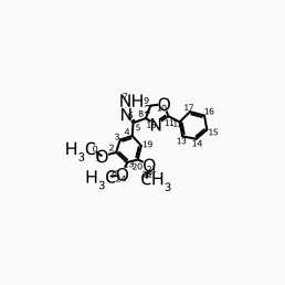 COc1cc(/C(=N/N)C2COC(c3ccccc3)=N2)cc(OC)c1OC